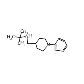 CC(C)(C)NCC1CCN(c2ccccc2)CC1